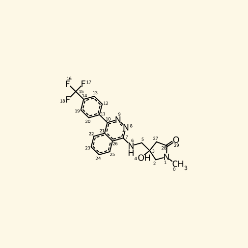 CN1CC(O)(CNc2nnc(-c3ccc(C(F)(F)F)cc3)c3ccccc23)CC1=O